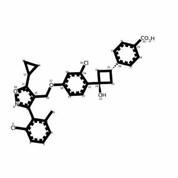 Cc1cccc(Cl)c1-c1noc(C2CC2)c1COc1ccc([C@]2(O)C[C@H](c3ccc(C(=O)O)cc3)C2)c(Cl)c1